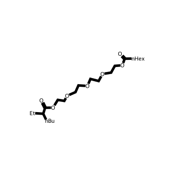 CCCCCCC(=O)OCCOCCOCCOCCOC(=O)C(CC)CCCC